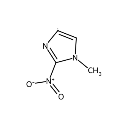 Cn1c[c]nc1[N+](=O)[O-]